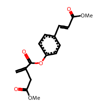 C=C(CC(=O)OC)C(=O)Oc1ccc(/C=C/C(=O)OC)cc1